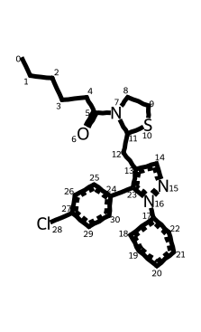 CCCCCC(=O)N1CCSC1Cc1cnn(-c2ccccc2)c1-c1ccc(Cl)cc1